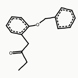 CCC(=O)Cc1ccccc1OCc1ccccc1